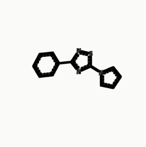 c1ccc(-c2nsc(-n3cccc3)n2)cc1